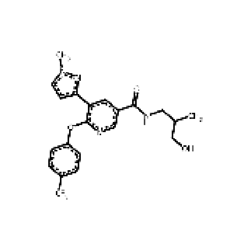 CC(CO)CNC(=O)c1cnc(Oc2ccc(C(F)(F)F)cc2)c(-c2ccn(C)n2)c1